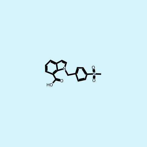 CS(=O)(=O)c1ccc(Cn2ccc3cccc(C(=O)O)c32)cc1